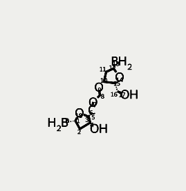 B[C@H]1C[C@@H](O)[C@@H](COCO[C@@H]2C[C@H](B)O[C@@H]2CO)O1